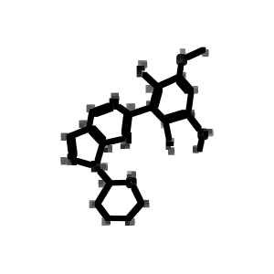 COc1cc(OC)c(F)c(-c2ncc3cnn(C4CCCCO4)c3n2)c1F